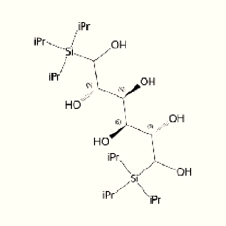 CC(C)[Si](C(C)C)(C(C)C)C(O)[C@@H](O)[C@@H](O)[C@H](O)[C@H](O)C(O)[Si](C(C)C)(C(C)C)C(C)C